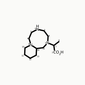 CC(C(=O)O)N1CCNCCN2CCCCC2C1